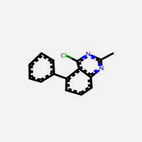 Cc1nc(Cl)c2c(-c3ccccc3)cccc2n1